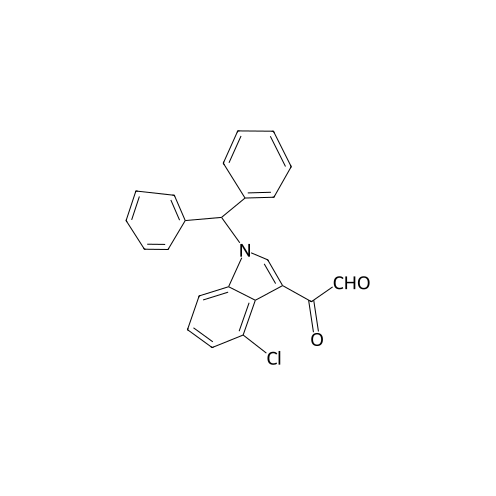 O=CC(=O)c1cn(C(c2ccccc2)c2ccccc2)c2cccc(Cl)c12